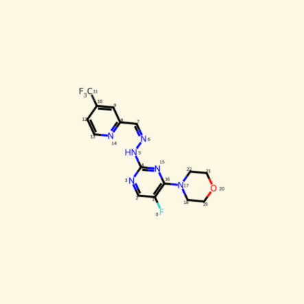 Fc1cnc(N/N=C\c2cc(C(F)(F)F)ccn2)nc1N1CCOCC1